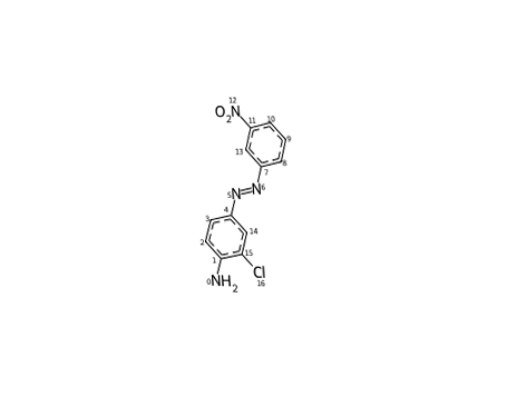 Nc1ccc(/N=N/c2cccc([N+](=O)[O-])c2)cc1Cl